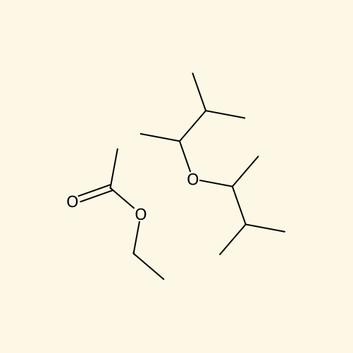 CC(C)C(C)OC(C)C(C)C.CCOC(C)=O